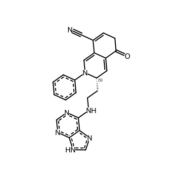 N#CC1=CCC(=O)C2=C[C@H](CCNc3ncnc4[nH]cnc34)N(c3ccccc3)C=C12